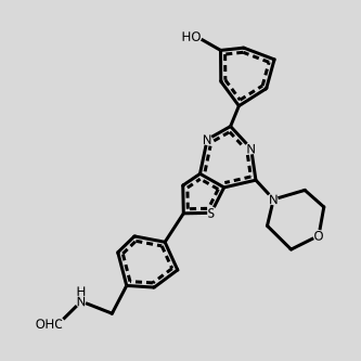 O=CNCc1ccc(-c2cc3nc(-c4cccc(O)c4)nc(N4CCOCC4)c3s2)cc1